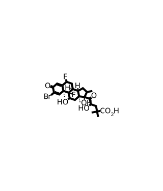 CC1C[C@H]2[C@@H]3CC(F)C4=CC(=O)C(Br)=C[C@]4(C)[C@@]3(F)C(O)C[C@]2(C)[C@@]1(O)C(=O)C(O)CC(C)(C)C(=O)O